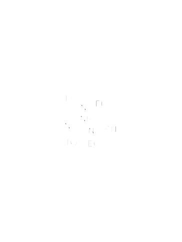 CC[N](C)[Nb](=[N]C(C)(C)C)[N](C)CC